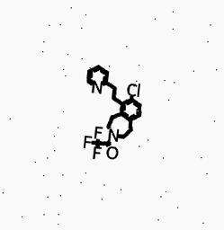 O=C(N1CCc2ccc(Cl)c(CCc3ccccn3)c2CC1)C(F)(F)F